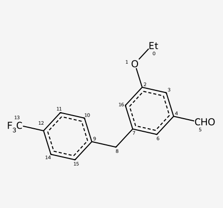 CCOc1cc(C=O)cc(Cc2ccc(C(F)(F)F)cc2)c1